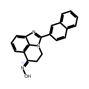 O/N=C1\CCn2c(-c3ccc4ccccc4c3)nc3cccc1c32